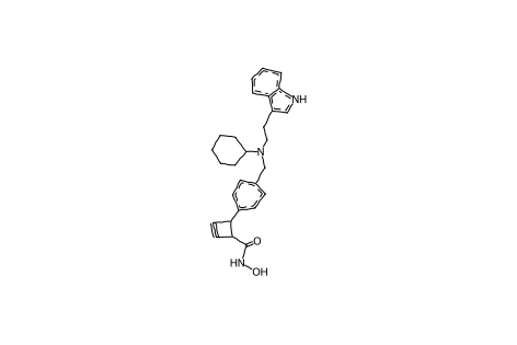 O=C(NO)C1C#CC1c1ccc(CN(CCc2c[nH]c3ccccc23)C2CCCCC2)cc1